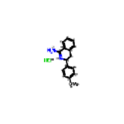 COc1ccc(C2Cc3ccccc3C(N)=N2)cc1.Cl